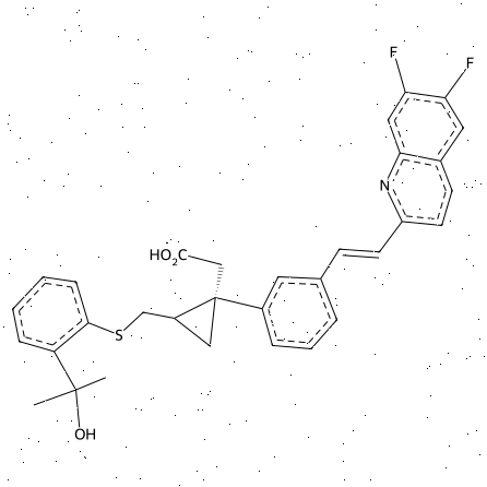 CC(C)(O)c1ccccc1SCC1C[C@]1(CC(=O)O)c1cccc(C=Cc2ccc3cc(F)c(F)cc3n2)c1